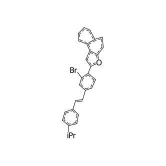 CC(C)c1ccc(C=Cc2ccc(-c3cc4c(ccc5ccccc54)o3)c(Br)c2)cc1